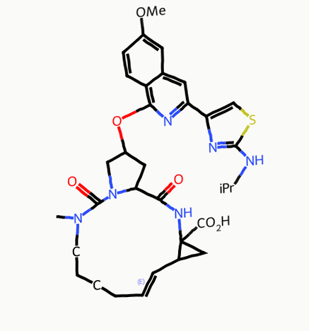 COc1ccc2c(OC3CC4C(=O)NC5(C(=O)O)CC5/C=C/CCCCN(C)C(=O)N4C3)nc(-c3csc(NC(C)C)n3)cc2c1